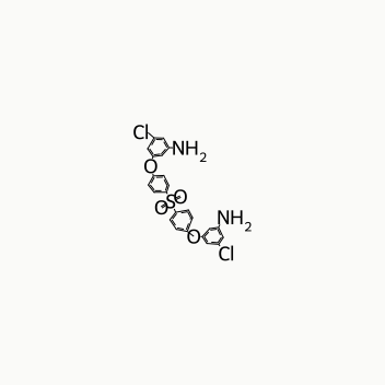 Nc1cc(Cl)cc(Oc2ccc(S(=O)(=O)c3ccc(Oc4cc(N)cc(Cl)c4)cc3)cc2)c1